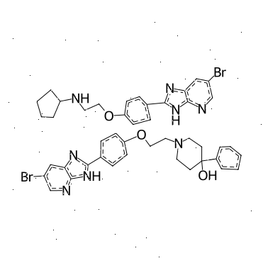 Brc1cnc2[nH]c(-c3ccc(OCCNC4CCCC4)cc3)nc2c1.OC1(c2ccccc2)CCN(CCOc2ccc(-c3nc4cc(Br)cnc4[nH]3)cc2)CC1